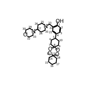 Oc1ccc(C2CCC3(CC2)OOC2(CCCCC2)OO3)cc1CN1CCC(N2CCOCC2)CC1